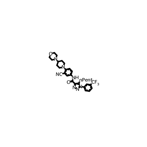 CCCCCc1c(C(=O)Nc2ccc(N3CCC(N4CCOCC4)CC3)c(C#N)c2)nnn1-c1cccc(C(F)(F)F)c1